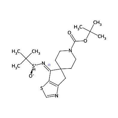 CC(C)(C)OC(=O)N1CCC2(CC1)Cc1ncsc1/C2=N\[S@@+]([O-])C(C)(C)C